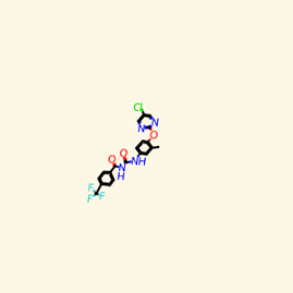 Cc1cc(NC(=O)NC(=O)c2ccc(C(F)(F)F)cc2)ccc1Oc1ncc(Cl)cn1